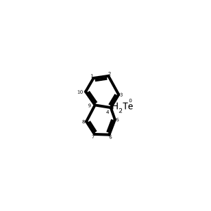 [TeH2].c1ccc2ccccc2c1